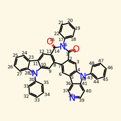 O=c1c2cc3c(cc2c2cc4c(cc2c(=O)n1-c1ccccc1)c1ccccc1n4-c1ccccc1)c1cnccc1n3-c1ccccc1